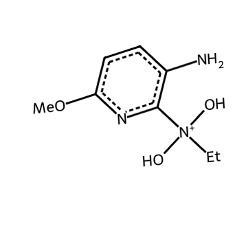 CC[N+](O)(O)c1nc(OC)ccc1N